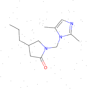 CCCC1CC(=O)N(Cn2c(C)cnc2C)C1